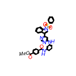 COC(=O)c1ccc(C(=O)Nc2cccc(Nc3cc(-c4cn(S(=O)(=O)c5ccccc5)c5ccccc45)ncn3)c2)cc1